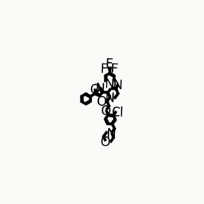 O=C(COc1ccc(CN2CCOCC2)cc1Cl)N1CCc2nc3cc(C(F)(F)F)ccn3c2C1c1cc(-c2ccccc2)on1